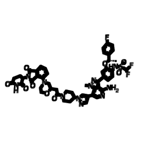 C[C@H](Oc1cc(-c2nn(C)c3c(-c4cnn(C5CCN(C(=O)CC6CN(c7cccc8c7C(=O)N(C7CCC(=O)NC7=O)C8=O)CCO6)CC5)c4)cnc(N)c23)ccc1NS(=O)(=O)C(F)F)c1ccc(F)cc1